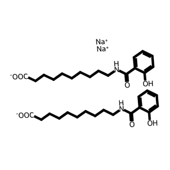 O=C([O-])CCCCCCCCCNC(=O)c1ccccc1O.O=C([O-])CCCCCCCCCNC(=O)c1ccccc1O.[Na+].[Na+]